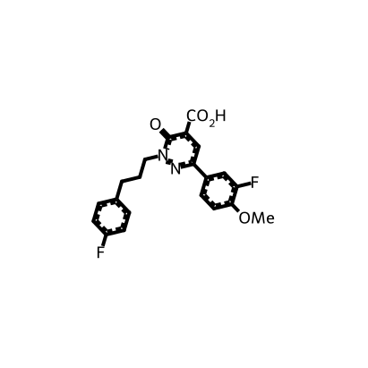 COc1ccc(-c2cc(C(=O)O)c(=O)n(CCCc3ccc(F)cc3)n2)cc1F